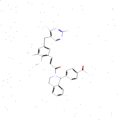 COc1cc(Cc2cnc(N)nc2N)cc(C=CC(=O)N2CCc3ccccc3C2c2ccc(C(N)=O)cc2)c1OC